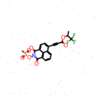 CC(OC(=O)C#Cc1ccc2c3c(cccc13)C(=O)N(OS(C)(=O)=O)C2=O)C(F)(F)F